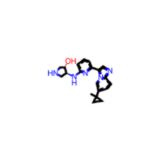 CC1(c2ccc3ncc(-c4cccc(N[C@H]5CNC[C@@H]5O)n4)n3c2)CC1